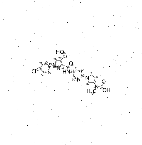 CN(C(=O)O)C1CCN(c2ccc(NC(=O)c3nn(-c4ccc(Cl)cc4)cc3CO)cn2)C1